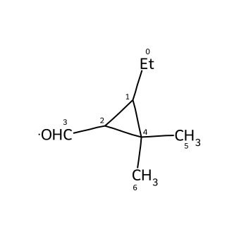 CCC1C([C]=O)C1(C)C